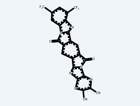 N#Cc1nc2nc3c4cc5c(=O)n6c7cc(C(F)(F)F)cc(C(F)(F)F)c7nc6c5cc4c(=O)n3c2nc1C#N